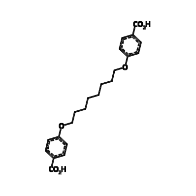 O=C(O)c1ccc(OCCCCCCCCOc2ccc(C(=O)O)cc2)cc1